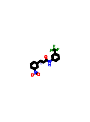 O=C(/C=C/c1cccc([N+](=O)[O-])c1)Nc1cccc(C(F)(F)F)c1